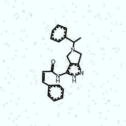 CC(c1ccccc1)N1Cc2n[nH]c(NC(=O)/C=C\c3ccccc3)c2C1